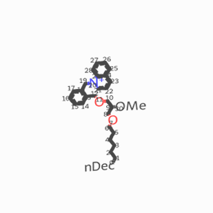 CCCCCCCCCCCCCCCCOCC(COCc1ccccc1C[n+]1cccc2ccccc21)OC